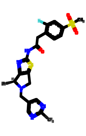 CC(C)[C@H]1c2nc(NC(=O)Cc3ccc(S(C)(=O)=O)cc3F)sc2CN1Cc1cnc(C(F)(F)F)nc1